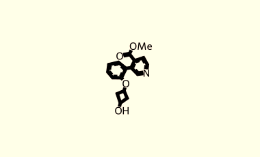 COC(=O)c1ccncc1-c1ccccc1OC1CC(O)C1